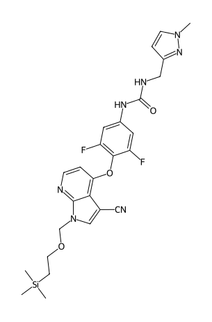 Cn1ccc(CNC(=O)Nc2cc(F)c(Oc3ccnc4c3c(C#N)cn4COCC[Si](C)(C)C)c(F)c2)n1